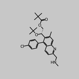 CNCc1ccc2c(-c3ccc(Cl)cc3)c([C@@H](COC(=O)C(C)(C)C)OC(C)(C)C)c(C)cc2n1